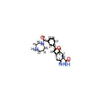 CC1=NNC(=O)/C1=C/c1ccc(-c2cccc(C(=O)N3CCCN(C)CC3)c2)o1